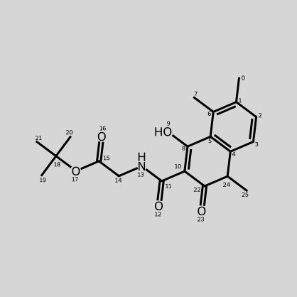 Cc1ccc2c(c1C)C(O)=C(C(=O)NCC(=O)OC(C)(C)C)C(=O)C2C